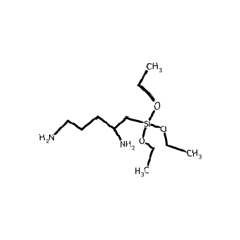 CCO[Si](CC(N)CCCN)(OCC)OCC